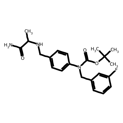 CC(NCc1ccc(N(Cc2cccc(F)c2)C(=O)OC(C)(C)C)cc1)C(N)=O